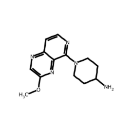 COc1cnc2ccnc(N3CCC(N)CC3)c2n1